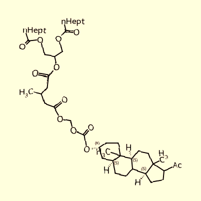 CCCCCCCC(=O)OCC(COC(=O)CCCCCCC)OC(=O)CC(C)CC(=O)OCOC(=O)O[C@@H]1CCC2(C)[C@@H](CCC3[C@@H]4CCC(C(C)=O)C4(C)CC[C@@H]32)C1